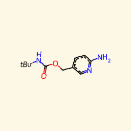 CC(C)(C)NC(=O)OCc1ccc(N)nc1